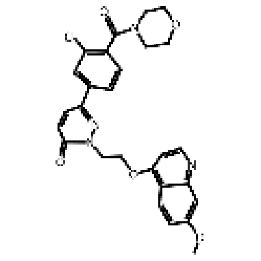 COc1ccc2c(OCCn3nc(-c4ccc(C(=O)N5CCOCC5)c(Cl)c4)ccc3=O)ccnc2c1